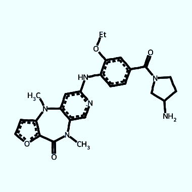 CCOc1cc(C(=O)N2CCC(N)C2)ccc1Nc1cc2c(cn1)N(C)C(=O)c1occc1N2C